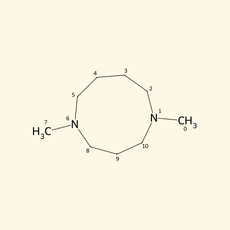 CN1CCCCN(C)CCC1